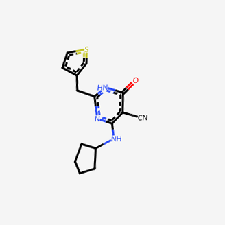 N#Cc1c(NC2CCCC2)nc(Cc2ccsc2)[nH]c1=O